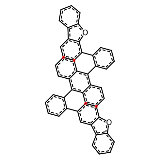 c1ccc(-c2c3ccccc3c(-c3ccccc3-c3cccc4c3oc3ccccc34)c3ccccc23)c(-c2ccc3oc4ccccc4c3c2)c1